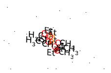 CCOC(OCC)(OPOC(OCC)(OCC)[Si](C)(C)C)[Si](C)(C)C